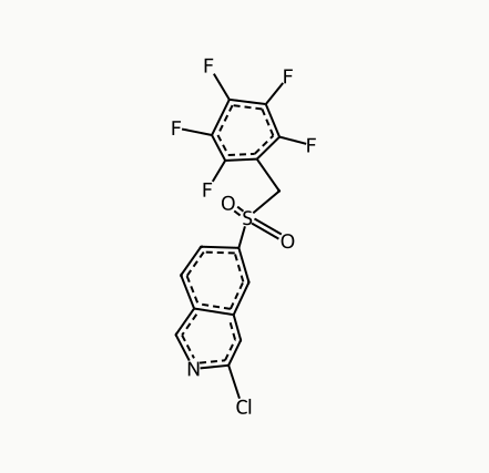 O=S(=O)(Cc1c(F)c(F)c(F)c(F)c1F)c1ccc2cnc(Cl)cc2c1